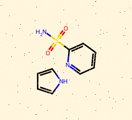 NS(=O)(=O)c1ccccn1.c1cc[nH]c1